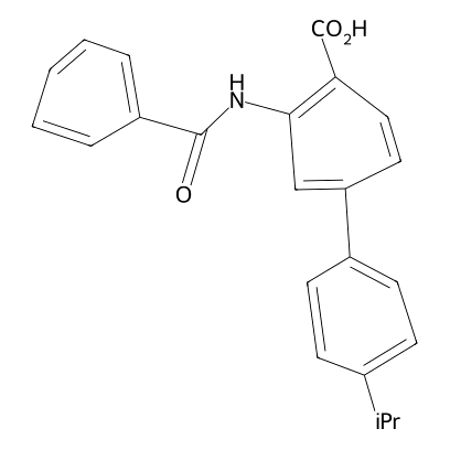 CC(C)c1ccc(-c2ccc(C(=O)O)c(NC(=O)c3ccccc3)c2)cc1